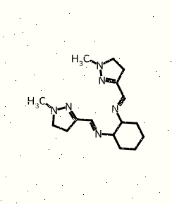 CN1CCC(C=NC2CCCCC2N=CC2=NN(C)CC2)=N1